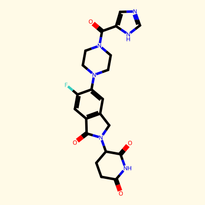 O=C1CCC(N2Cc3cc(N4CCN(C(=O)c5cnc[nH]5)CC4)c(F)cc3C2=O)C(=O)N1